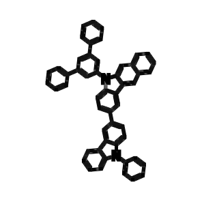 c1ccc(-c2cc(-c3ccccc3)cc(-n3c4ccc(-c5ccc6c(c5)c5ccccc5n6-c5ccccc5)cc4c4cc5ccccc5cc43)c2)cc1